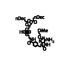 CCCCCCCCCCCC(=O)OC[C@@H](COP(=O)(O)OCCNC(=O)c1ccc(Cn2c(=O)[nH]c3c(N)nc(OCCOC)nc32)cc1)OC(=O)CCCCCCCCCCC